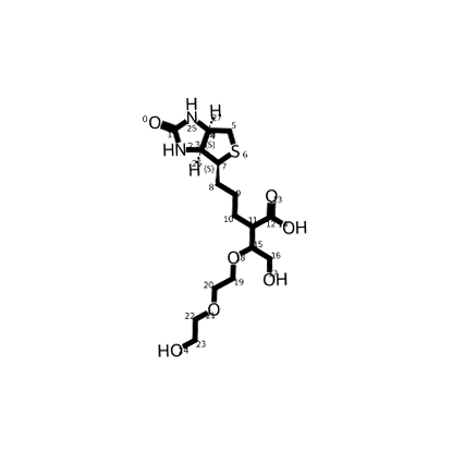 O=C1N[C@H]2[C@H](CS[C@H]2CCCC(C(=O)O)C(CO)OCCOCCO)N1